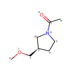 COC[C@@H]1CCN(C(C)=O)C1